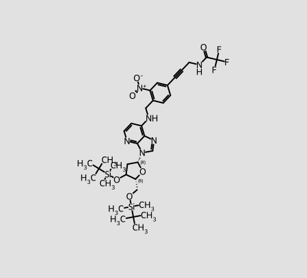 CC(C)(C)[Si](C)(C)OC[C@H]1O[C@@H](n2cnc3c(NCc4ccc(C#CCNC(=O)C(F)(F)F)cc4[N+](=O)[O-])ccnc32)CC1O[Si](C)(C)C(C)(C)C